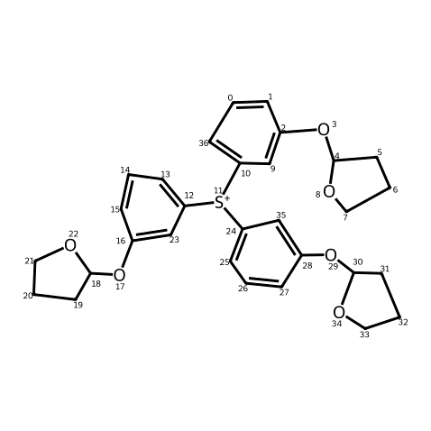 c1cc(OC2CCCO2)cc([S+](c2cccc(OC3CCCO3)c2)c2cccc(OC3CCCO3)c2)c1